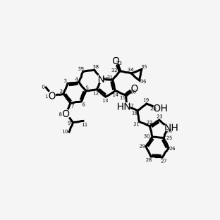 COc1cc2c(cc1OC(C)C)-c1cc(C(=O)NC(CO)Cc3c[nH]c4ccccc34)c(C(=O)C3CC3)n1CC2